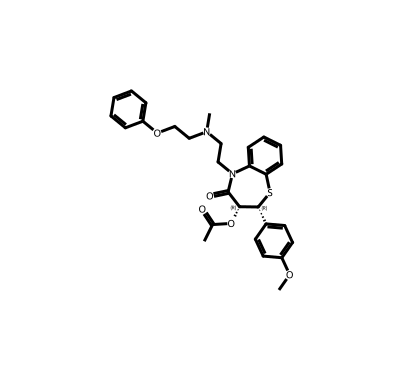 COc1ccc([C@H]2Sc3ccccc3N(CCN(C)CCOc3ccccc3)C(=O)[C@H]2OC(C)=O)cc1